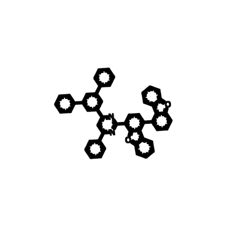 c1ccc(-c2cc(-c3ccccc3)cc(-c3cc(-c4ccccc4)nc(-c4ccc(-c5cccc6oc7ccccc7c56)c5c4oc4ccccc45)n3)c2)cc1